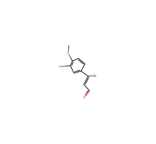 CSc1ccc(C(Br)=CC=O)cc1Cl